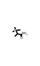 CC(C(N)=O)[Si](C)(C)C